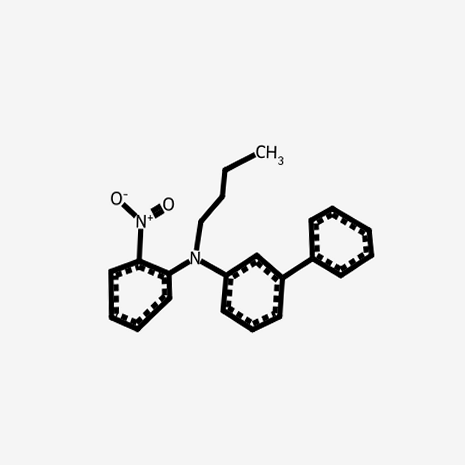 CCCCN(c1cccc(-c2ccccc2)c1)c1ccccc1[N+](=O)[O-]